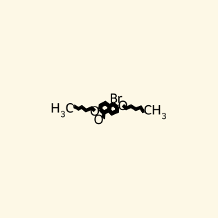 CCCCCCOc1ccc2c(C=O)c(OCCCCCC)ccc2c1Br